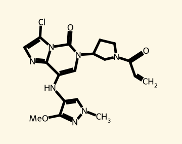 C=CC(=O)N1CCC(n2cc(Nc3cn(C)nc3OC)c3ncc(Cl)n3c2=O)C1